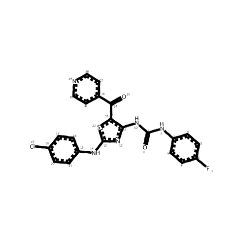 O=C(Nc1ccc(F)cc1)Nc1nc(Nc2ccc(Cl)cc2)sc1C(=O)c1ccncc1